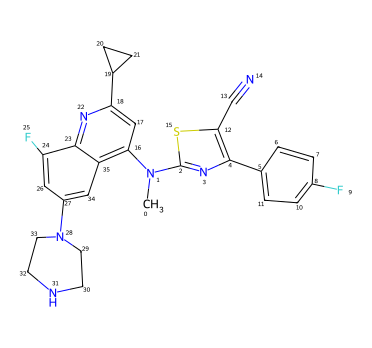 CN(c1nc(-c2ccc(F)cc2)c(C#N)s1)c1cc(C2CC2)nc2c(F)cc(N3CCNCC3)cc12